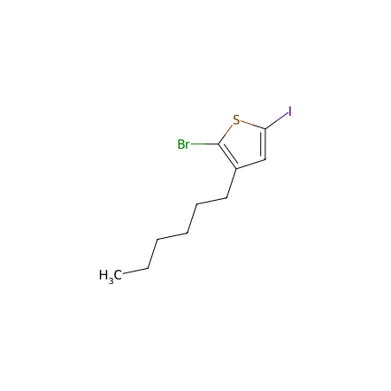 CCCCCCc1cc(I)sc1Br